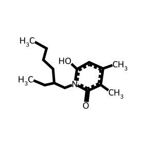 CCCCC(CC)Cn1c(O)cc(C)c(C)c1=O